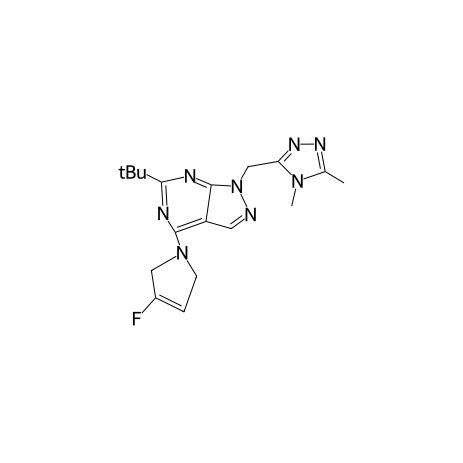 Cc1nnc(Cn2ncc3c(N4CC=C(F)C4)nc(C(C)(C)C)nc32)n1C